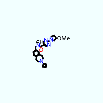 CO[C@H]1CCN(c2ncc(C(=O)N(C)Cc3ccc4c(c3)CCN(C3CCC3)CC4)cn2)C1